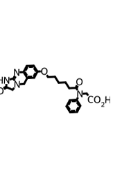 O=C(O)CN(C(=O)CCCCCOc1ccc2c(c1)CN1CC(=O)NC1=N2)c1ccccc1